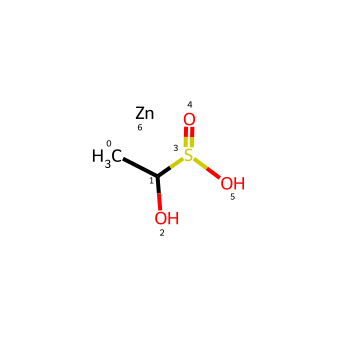 CC(O)S(=O)O.[Zn]